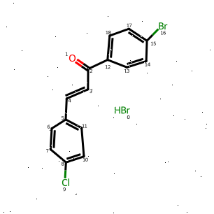 Br.O=C(/C=C/c1ccc(Cl)cc1)c1ccc(Br)cc1